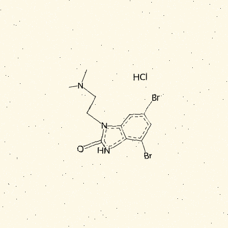 CN(C)CCn1c(=O)[nH]c2c(Br)cc(Br)cc21.Cl